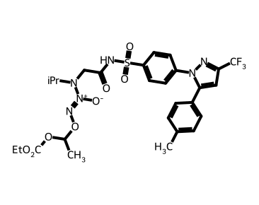 CCOC(=O)OC(C)ON=[N+]([O-])N(CC(=O)NS(=O)(=O)c1ccc(-n2nc(C(F)(F)F)cc2-c2ccc(C)cc2)cc1)C(C)C